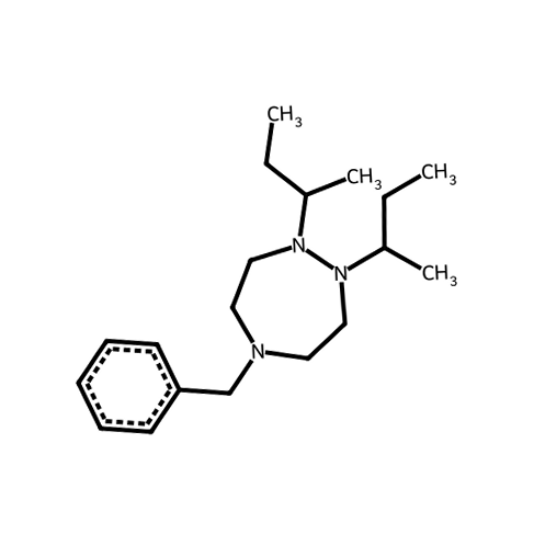 CCC(C)N1CCN(Cc2ccccc2)CCN1C(C)CC